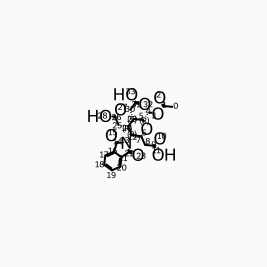 CC(=O)OC[C@@H]1OC(CC(=O)O)[C@H](N2C(=O)c3ccccc3C2=O)[C@H](CC(=O)O)[C@@H]1CC(=O)O